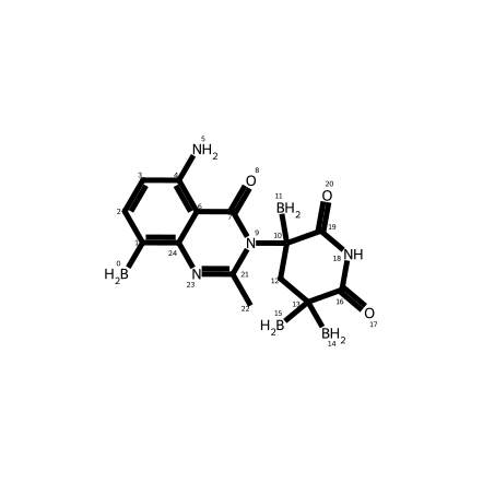 Bc1ccc(N)c2c(=O)n(C3(B)CC(B)(B)C(=O)NC3=O)c(C)nc12